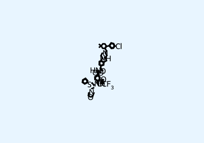 CC1(C)CCC(c2ccc(Cl)cc2)=C(CN2CCN3c4ccc(C(=O)NS(=O)(=O)c5ccc(N[C@H](CCN6CCOCC6)CSc6ccccc6)c(S(=O)(=O)C(F)(F)F)c5)cc4C[C@H]3C2)C1